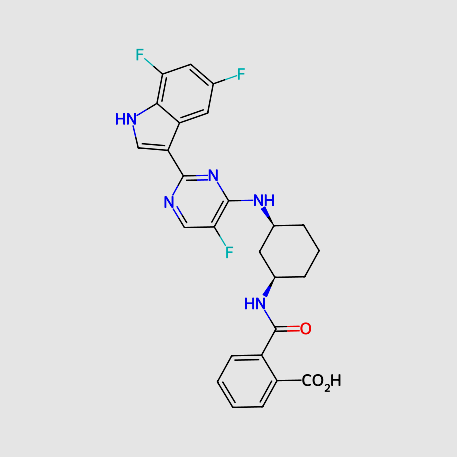 O=C(O)c1ccccc1C(=O)N[C@@H]1CCC[C@H](Nc2nc(-c3c[nH]c4c(F)cc(F)cc34)ncc2F)C1